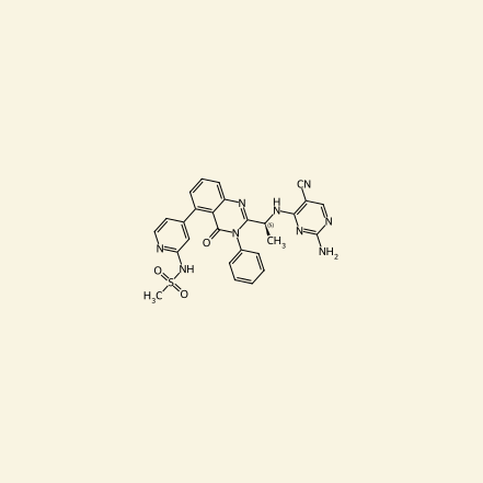 C[C@H](Nc1nc(N)ncc1C#N)c1nc2cccc(-c3ccnc(NS(C)(=O)=O)c3)c2c(=O)n1-c1ccccc1